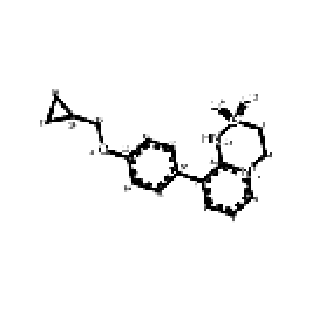 O=S1(=O)CC[n+]2cccc(-c3ccc(OCC4CC4)cc3)c2N1